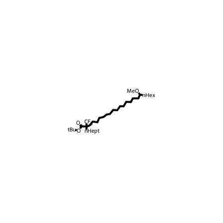 CCCCCCCC(CCCCCCCCCCCCCCCC(CCCCCC)OC)(C(=O)OC(C)(C)C)C(F)(F)F